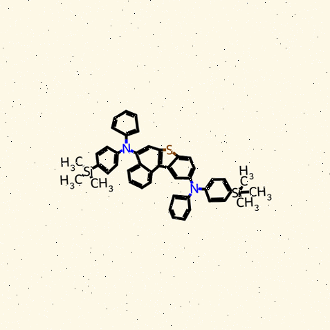 C[Si](C)(C)c1ccc(N(c2ccccc2)c2ccc3sc4cc(N(c5ccccc5)c5ccc([Si](C)(C)C)cc5)c5ccccc5c4c3c2)cc1